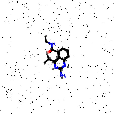 CCNC(=O)c1cccc2nc(N)nc(C(C)C)c12